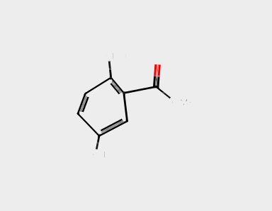 COC(=O)c1cc(C=O)ccc1C=O